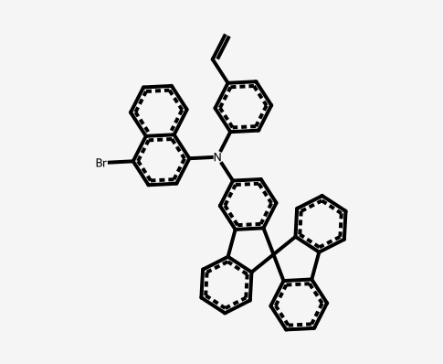 C=Cc1cccc(N(c2ccc3c(c2)-c2ccccc2C32c3ccccc3-c3ccccc32)c2ccc(Br)c3ccccc23)c1